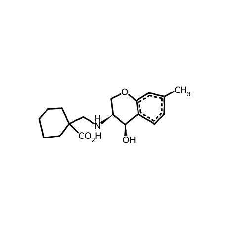 Cc1ccc2c(c1)OC[C@H](NCC1(C(=O)O)CCCCC1)[C@@H]2O